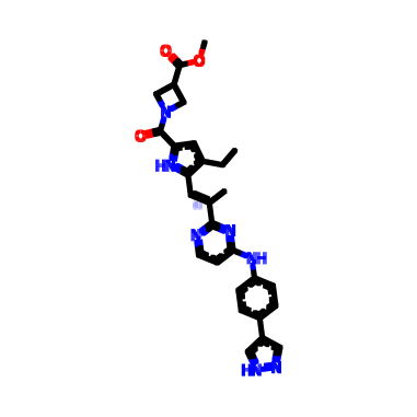 CCc1cc(C(=O)N2CC(C(=O)OC)C2)[nH]c1/C=C(\C)c1nccc(Nc2ccc(-c3cn[nH]c3)cc2)n1